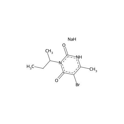 CCC(C)n1c(=O)[nH]c(C)c(Br)c1=O.[NaH]